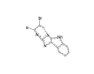 Brc1cn2c(nc1Br)nc1c3ccccc3[nH]c12